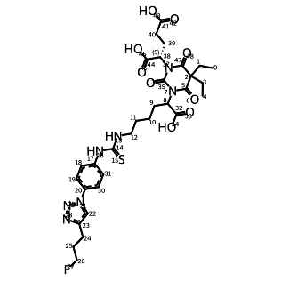 CCC1(CC)C(=O)N(C(CCCCNC(=S)Nc2ccc(-n3cc(CCCF)nn3)cc2)C(=O)O)C(=O)N([C@@H](CCC(=O)O)C(=O)O)C1=O